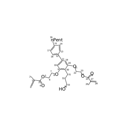 C=C(C)C(=O)OCCOc1cc(-c2ccc(CCCCC)cc2)cc(OCCOC(=O)C(=C)C)c1CCCO